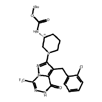 CC(C)(C)OC(=O)N[C@@H]1CCCN(c2nn3c(C(F)(F)F)n[nH]c(=O)c3c2Cc2ccccc2Cl)C1